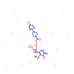 Cc1c(N[C@@H](CO)COCCC(=O)N2CCN(c3ncc(Cl)cn3)CC2)cn[nH]c1=O